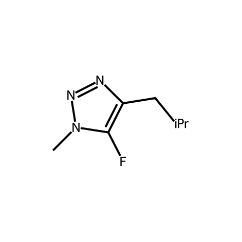 CC(C)Cc1nnn(C)c1F